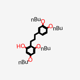 CCCCOc1cc(O)c(CCCc2ccc(OCCCC)c(OCCCC)c2)c(OCCCC)c1